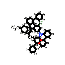 CC1=CC2(c3cc(N(c4ccc(-c5ccccc5)cc4)c4ccccc4-c4ccccc4)cc(Cl)c3-c3c(-c4ccccc4)cccc32)C2CC(C)CC1C2